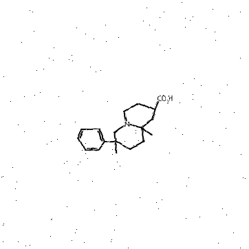 CC1(c2ccccc2)CCC2(C)CC(C(=O)O)CCN2C1